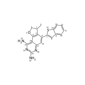 CC1COc2c1c(-c1cc3ccccc3s1)cc1nc(N)nc(N)c21